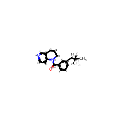 CC(C)(C)Cc1cccc(C(=O)N2CCCc3cnccc32)c1